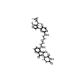 Cn1ncc(-c2nc(NCCOCCNc3cccc4c3C(=O)N(C3CCC(=O)NC3=O)C4=O)ncc2F)c1CC1CC1